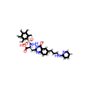 Cc1c(C)c(C)c(S(=O)(=O)N[C@@H](Cc2nc3ccc(CCCNc4ccccn4)cc3c(=O)[nH]2)C(=O)O)c(C)c1C